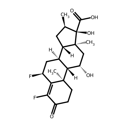 C[C@@H]1C[C@H]2[C@@H]3C[C@H](F)C4=C(F)C(=O)CC[C@]4(C)[C@H]3[C@@H](O)C[C@]2(C)[C@@]1(O)C(=O)O